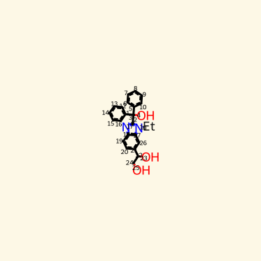 CCn1c(C(O)(c2ccccc2)c2ccccc2)nc2ccc(C(O)CO)cc21